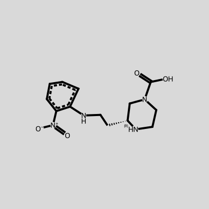 O=C(O)N1CCN[C@H](CCNc2ccccc2[N+](=O)[O-])C1